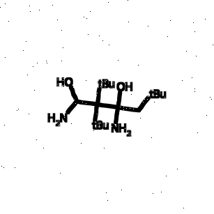 CC(C)(C)CC(N)(O)C(C(N)O)(C(C)(C)C)C(C)(C)C